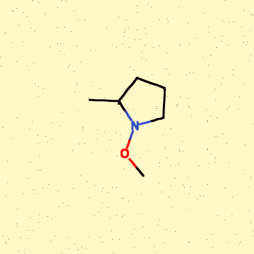 CON1CCC[C]1C